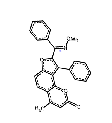 CO/N=C(\c1ccccc1)c1oc2ccc3c(C)cc(=O)oc3c2c1-c1ccccc1